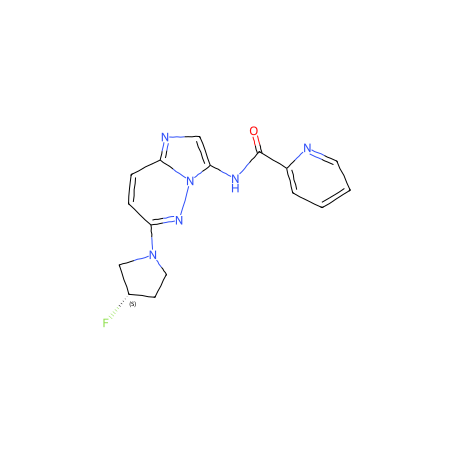 O=C(Nc1cnc2ccc(N3CC[C@H](F)C3)nn12)c1ccccn1